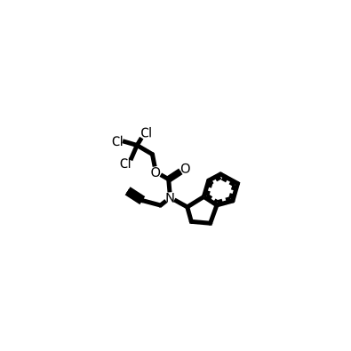 C#CCN(C(=O)OCC(Cl)(Cl)Cl)C1CCc2ccccc21